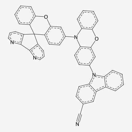 N#Cc1ccc2c(c1)c1ccccc1n2-c1ccc2c(c1)Oc1ccccc1N2c1ccc2c(c1)Oc1ccccc1C21c2cccnc2-c2ncccc21